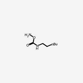 CCCCCCNC(=O)ON